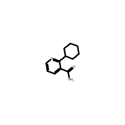 NC(=O)c1cccnc1C1CCCCC1